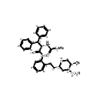 COC(=O)N[C@H](C(=O)Nc1ccccc1CC[C@@H]1CN(C(=O)O)[C@H](C#N)CO1)C(c1ccccc1)c1ccccc1